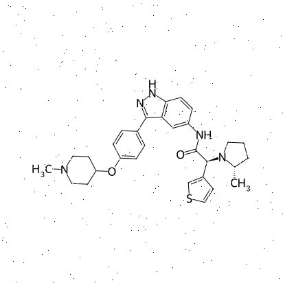 C[C@H]1CCCN1[C@H](C(=O)Nc1ccc2[nH]nc(-c3ccc(OC4CCN(C)CC4)cc3)c2c1)c1ccsc1